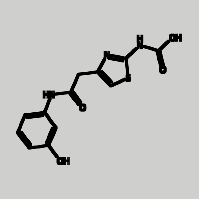 O=C(O)Nc1nc(CC(=O)Nc2cccc(O)c2)cs1